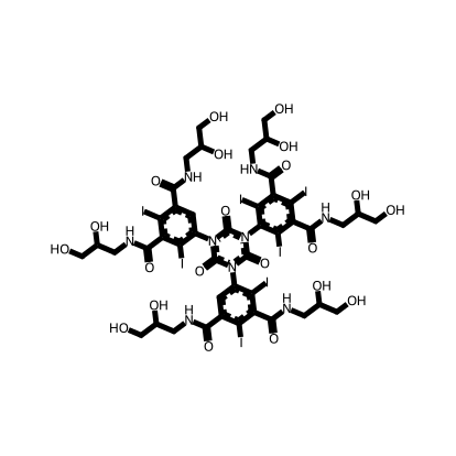 O=C(NCC(O)CO)c1cc(-n2c(=O)n(-c3cc(C(=O)NCC(O)CO)c(I)c(C(=O)NCC(O)CO)c3I)c(=O)n(-c3c(I)c(C(=O)NCC(O)CO)c(I)c(C(=O)NCC(O)CO)c3I)c2=O)c(I)c(C(=O)NCC(O)CO)c1I